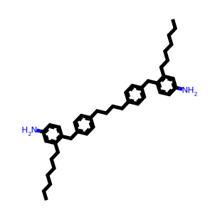 CCCCCCCc1cc(N)ccc1Cc1ccc(CCCCc2ccc(Cc3ccc(N)cc3CCCCCCC)cc2)cc1